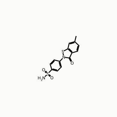 Cc1ccc2c(=O)n(-c3ccc(S(N)(=O)=O)cc3)sc2c1